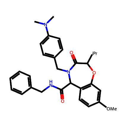 COc1ccc2c(c1)OC(C(C)C)C(=O)N(Cc1ccc(N(C)C)cc1)C2C(=O)NCc1ccccc1